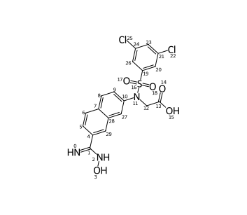 N=C(NO)c1ccc2ccc(N(CC(=O)O)S(=O)(=O)c3cc(Cl)cc(Cl)c3)cc2c1